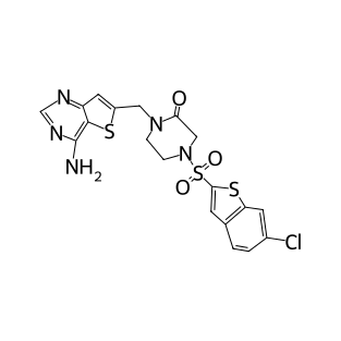 Nc1ncnc2cc(CN3CCN(S(=O)(=O)c4cc5ccc(Cl)cc5s4)CC3=O)sc12